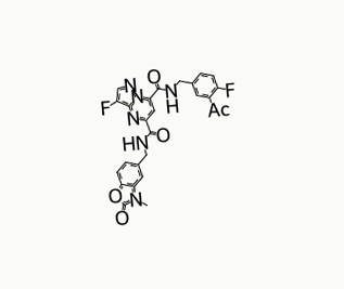 CC(=O)c1cc(CNC(=O)c2cc(C(=O)NCc3ccc4oc(=O)n(C)c4c3)nc3c(F)cnn23)ccc1F